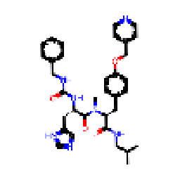 CC(C)CNC(=O)[C@H](Cc1ccc(OCc2ccncc2)cc1)N(C)C(=O)[C@H](Cc1cnc[nH]1)NC(=O)NCc1ccccc1